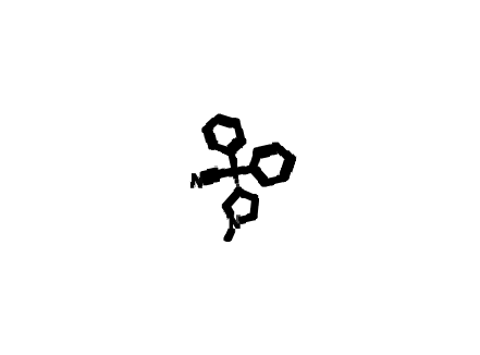 CN1CC[C@@H](C(C#N)(c2ccccc2)c2ccccc2)C1